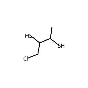 CC(S)C(S)CCl